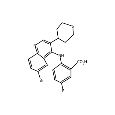 O=C(O)c1cc(F)ccc1Nc1c(C2CCSCC2)cnc2ccc(Br)cc12